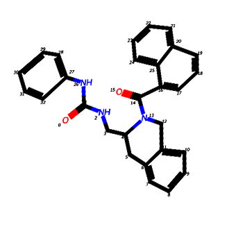 O=C(NCC1Cc2ccccc2CN1C(=O)c1cccc2ccccc12)Nc1ccccc1